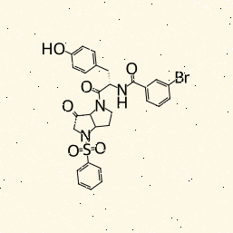 O=C(N[C@@H](Cc1ccc(O)cc1)C(=O)N1CCC2C1C(=O)CN2S(=O)(=O)c1ccccc1)c1cccc(Br)c1